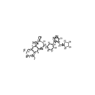 CC(C)N(C)c1cc2c(cc1C(F)(F)F)NC(=O)CC(c1cccc(-n3nncc3CN3CCCC3)c1)=N2